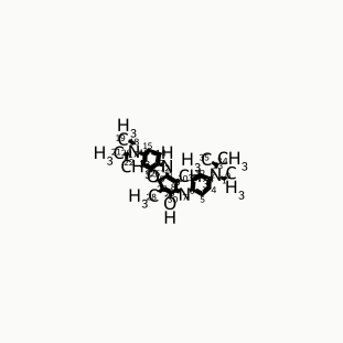 CCN(c1ccc(N=C2C(C)=C(Nc3ccc(N(CC)C(C)C)cc3)C(=O)C(C)=C2O)cc1)C(C)C